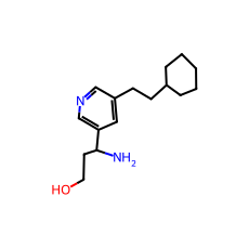 NC(CCO)c1cncc(CCC2CCCCC2)c1